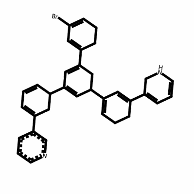 BrC1=CCCC(C2=CC(C3C=CC=C(c4cccnc4)C3)=CC(C3=CCCC(C4=CC=CNC4)=C3)C2)=C1